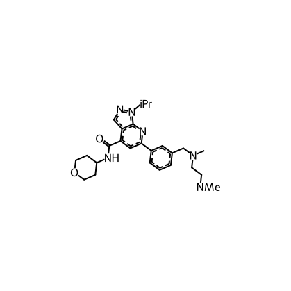 CNCCN(C)Cc1cccc(-c2cc(C(=O)NC3CCOCC3)c3cnn(C(C)C)c3n2)c1